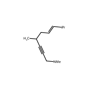 CNCC#CC(C)CC=CC(C)C